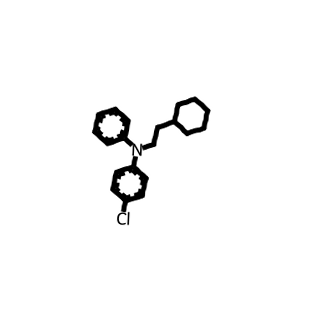 Clc1ccc(N(CCC2CCCCC2)c2ccccc2)cc1